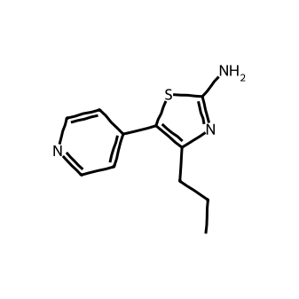 CCCc1nc(N)sc1-c1ccncc1